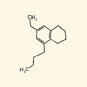 CCCCc1cc(CC)cc2c1CCC[CH]2